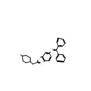 FC(F)(F)C1CCC(Cc2nc3ccc(N=C(c4ccccc4)c4ccccc4)cc3s2)CC1